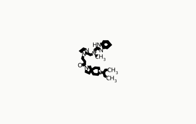 CCC(CC)N1CCC2(CCN(C(=O)CCn3ccnc3CN(C)Cc3nc4ccccc4[nH]3)C2)CC1